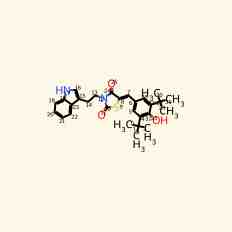 CC(C)(C)c1cc(/C=C2\SC(=O)N(CCc3c[nH]c4ccccc34)C2=O)cc(C(C)(C)C)c1O